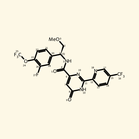 COC[C@@H](NC(=O)c1cc(=O)[nH]c(-c2ccc(C(F)(F)F)cn2)n1)c1ccc(OC(F)(F)F)c(F)c1